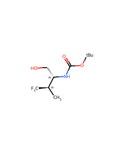 C[C@H]([C@H](CO)NC(=O)OC(C)(C)C)C(F)(F)F